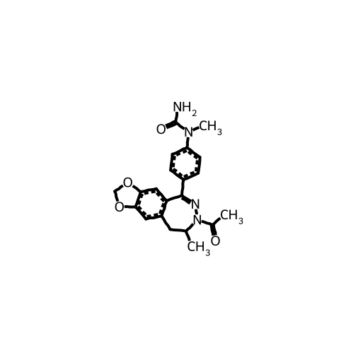 CC(=O)N1N=C(c2ccc(N(C)C(N)=O)cc2)c2cc3c(cc2CC1C)OCO3